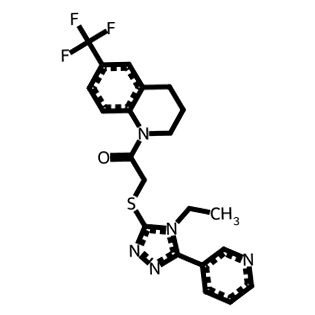 CCn1c(SCC(=O)N2CCCc3cc(C(F)(F)F)ccc32)nnc1-c1cccnc1